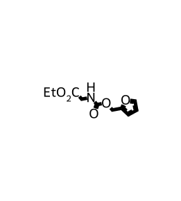 CCOC(=O)CNC(=O)OCc1ccco1